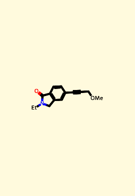 CCN1Cc2cc(C#CCOC)ccc2C1=O